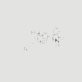 Cl.O=C(CCCCN1CCCC1)Nc1cc(-c2n[nH]c(=O)c3ccccc23)ccc1F